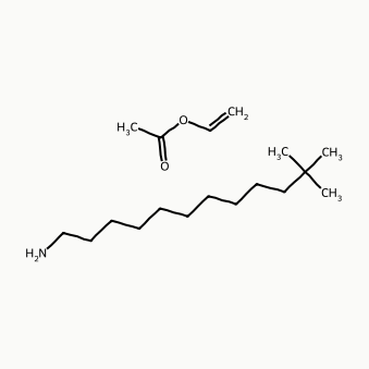 C=COC(C)=O.CC(C)(C)CCCCCCCCCCN